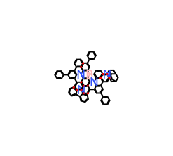 c1ccc(-c2ccc3c(c2)B2c4ccc(N5C6CC7CC(C6)CC5C7)cc4N(c4c(-c5ccccc5)cc(-c5ccccc5)cc4-c4ccccc4)c4cc(-n5c6ccccc6c6ccccc65)cc(c42)N3c2c(-c3ccccc3)cc(-c3ccccc3)cc2-c2ccccc2)cc1